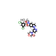 O=C(O)CN(c1ccc2c(ccn2-c2cc(N3CCOCC3=O)ccn2)c1)S(=O)(=O)c1cc(Cl)cc(Cl)c1